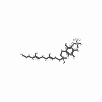 C/C(=C\CC[C@]1(C)CCc2c(C)c(O[Si](C)(C)C(C)(C)C)c(C)c(C)c2O1)CC/C=C(\C)CCCI